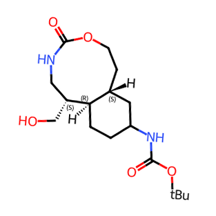 CC(C)(C)OC(=O)NC1CC[C@H]2[C@H](CO)CNC(=O)OCC[C@@H]2C1